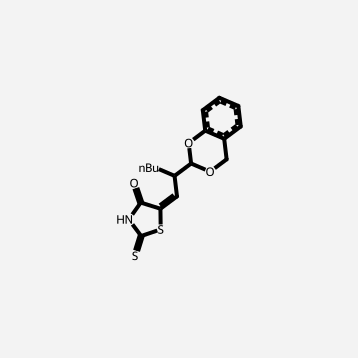 CCCCC(C=C1SC(=S)NC1=O)C1OCc2ccccc2O1